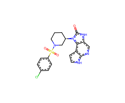 O=c1[nH]c2cnc3[nH]ccc3c2n1[C@@H]1CCCN(S(=O)(=O)c2ccc(Cl)cc2)C1